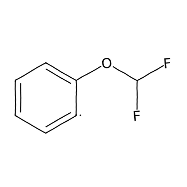 FC(F)Oc1[c]cccc1